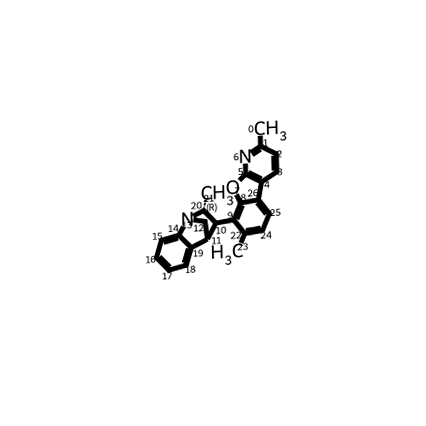 Cc1ccc2c(n1)oc1c(C3C4CN(c5ccccc54)[C@@H]3C)c(C)ccc12